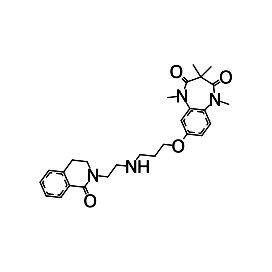 CN1C(=O)C(C)(C)C(=O)N(C)c2cc(OCCCNCCN3CCc4ccccc4C3=O)ccc21